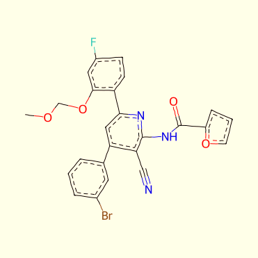 COCOc1cc(F)ccc1-c1cc(-c2cccc(Br)c2)c(C#N)c(NC(=O)c2ccco2)n1